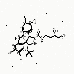 CC(C)(C)C[C@H]1N[C@@H](C(=O)NCC[C@H](O)CO)[C@H](c2ccc(F)c(Cl)c2)[C@@]12C(=O)Nc1cc(F)c(F)cc12